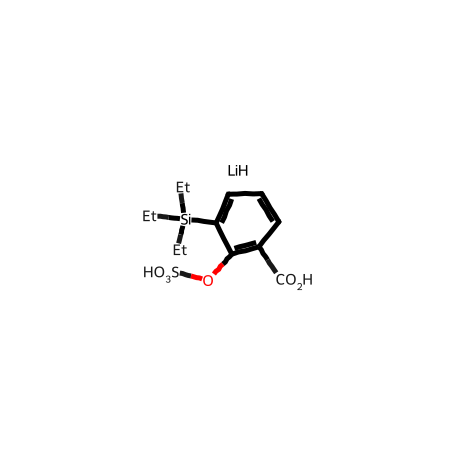 CC[Si](CC)(CC)c1cccc(C(=O)O)c1OS(=O)(=O)O.[LiH]